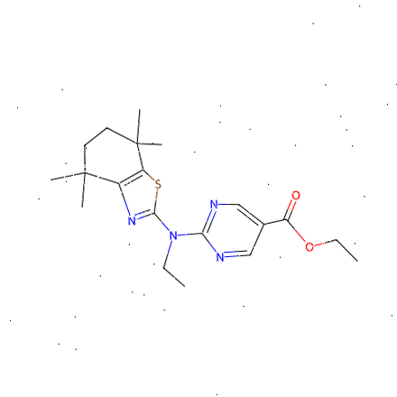 CCOC(=O)c1cnc(N(CC)c2nc3c(s2)C(C)(C)CCC3(C)C)nc1